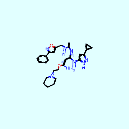 C=C(/N=C(\C=C(/N)OCCN1CCCCC1)Nc1cc(C2CC2)n[nH]1)NCc1cc(-c2ccccc2)no1